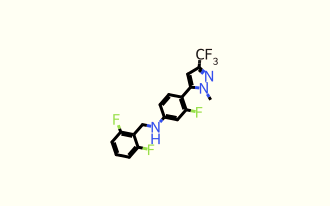 Cn1nc(C(F)(F)F)cc1-c1ccc(NCc2c(F)cccc2F)cc1F